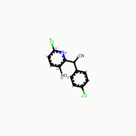 N#CC(c1ccc(Cl)cc1)c1nc(Cl)ccc1[N+](=O)[O-]